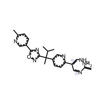 C=C(N)/N=C\C(=C/N)c1ccc(C(C)(c2noc(-c3ccc(C)nc3)n2)C(C)C)cn1